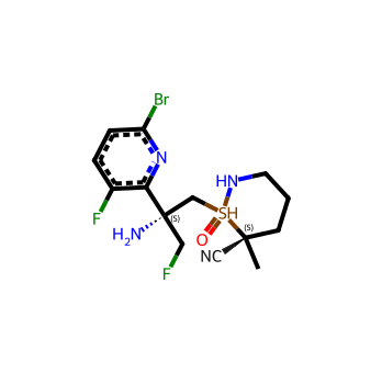 C[C@@]1(C#N)CCCN[SH]1(=O)C[C@@](N)(CF)c1nc(Br)ccc1F